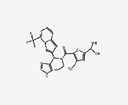 Cc1nc([C@H](C)O)oc1C(=O)N1CCc2[nH]cnc2[C@H]1c1cc2cccc(C(F)(F)F)n2n1